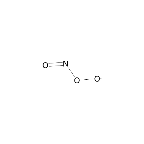 [O]ON=O